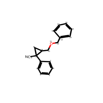 N#CC1(c2ccccc2)CC1COCc1ccccc1